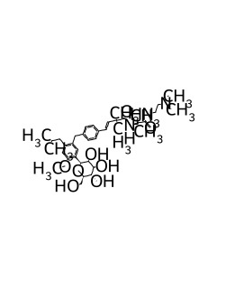 COc1cc(CC(C)C)c(Cc2ccc(/C=C/C(C)(C)C(=O)NC(C)(C)C(=O)NCCN(C)C)cc2)cc1[C@@H]1O[C@H](CO)[C@@H](O)[C@H](O)[C@H]1O